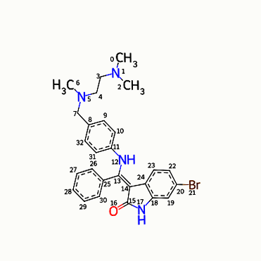 CN(C)CCN(C)Cc1ccc(NC(=C2C(=O)Nc3cc(Br)ccc32)c2ccccc2)cc1